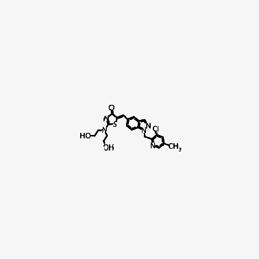 Cc1cnc(Cn2ncc3cc(/C=C4\SC(N(CCO)CCO)=NC4=O)ccc32)c(Cl)c1